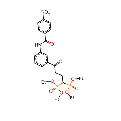 CCOP(=O)(OCC)C(CCC(=O)c1cccc(NC(=O)c2ccc([N+](=O)[O-])cc2)c1)P(=O)(OCC)OCC